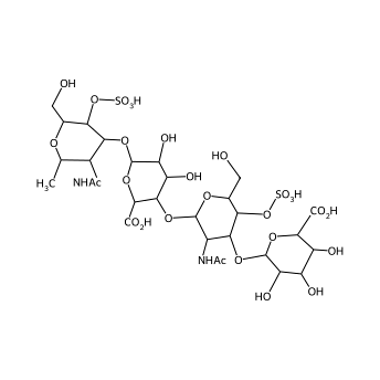 CC(=O)NC1C(C)OC(CO)C(OS(=O)(=O)O)C1OC1OC(C(=O)O)C(OC2OC(CO)C(OS(=O)(=O)O)C(OC3OC(C(=O)O)C(O)C(O)C3O)C2NC(C)=O)C(O)C1O